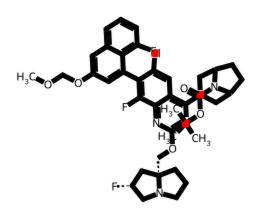 COCOc1cc(-c2c(Cl)cc3c(N4CC5CCC(C4)N5C(=O)OC(C)(C)C)nc(OC[C@]45CCCN4C[C@H](F)C5)nc3c2F)c2c(F)cccc2c1